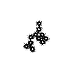 c1ccc(-c2ccc(N(c3ccc(-c4cccc(-c5ccc6c(c5)c5ccccc5n6-c5ccccc5)c4)cc3)c3ccc4c(c3)C3(c5ccccc5-c5ccccc53)c3ccccc3-4)cc2)cc1